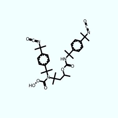 CC(CC(C)(C)N(C(=O)OO)C(C)(C)c1ccc(C(C)(C)N=C=O)cc1)OC(=O)NC(C)(C)c1ccc(C(C)(C)N=C=O)cc1